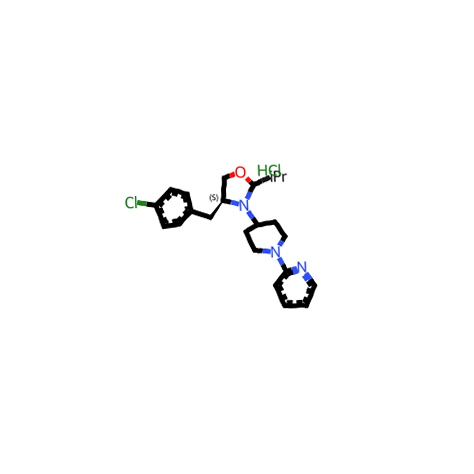 CC(C)C1OC[C@H](Cc2ccc(Cl)cc2)N1C1CCN(c2ccccn2)CC1.Cl